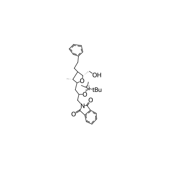 C[C@H]1C(CC(CN2C(=O)c3ccccc3C2=O)O[Si](C)(C)C(C)(C)C)O[C@@H](CO)C1CCc1ccccc1